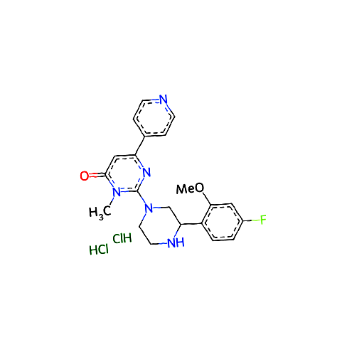 COc1cc(F)ccc1C1CN(c2nc(-c3ccncc3)cc(=O)n2C)CCN1.Cl.Cl